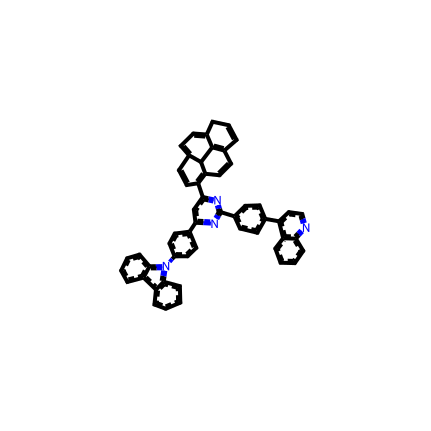 C1=CC2=C3C(=CC=C4C=CC(c5cc(-c6ccc(-n7c8ccccc8c8ccccc87)cc6)nc(-c6ccc(-c7ccnc8ccccc78)cc6)n5)=C(C=C2)C43)C1